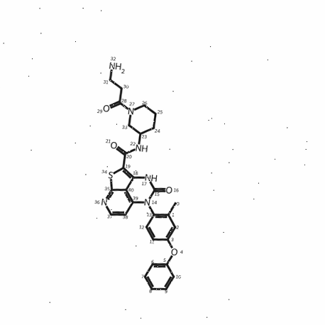 Cc1cc(Oc2ccccc2)ccc1N1C(=O)Nc2c(C(=O)NC3CCCN(C(=O)CCN)C3)sc3nccc1c23